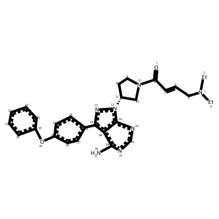 CCN(CC)CC=CC(=O)N1CC[C@@H](n2nc(-c3ccc(Oc4ccccc4)cc3)c3c(N)ncnc32)C1